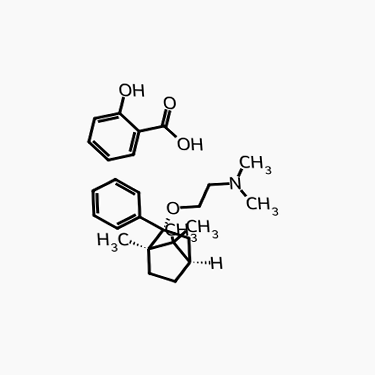 CN(C)CCO[C@]1(c2ccccc2)C[C@H]2CC[C@]1(C)C2(C)C.O=C(O)c1ccccc1O